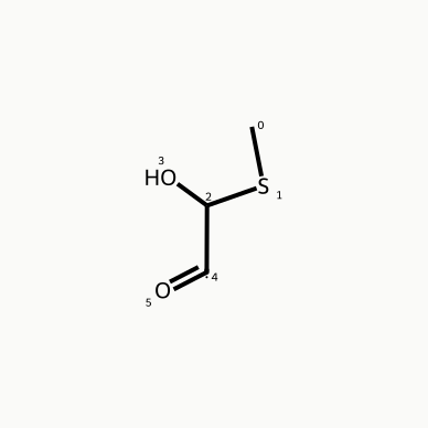 CSC(O)[C]=O